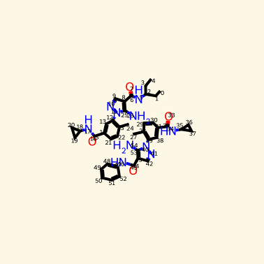 CCC(CC)NC(=O)c1cnn(-c2cc(C(=O)NC3CC3)ccc2C)c1N.Cc1ccc(C(=O)NC2CC2)cc1-n1ncc(C(=O)Nc2ccccc2)c1N